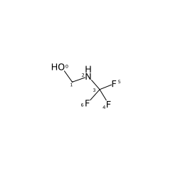 OCNC(F)(F)F